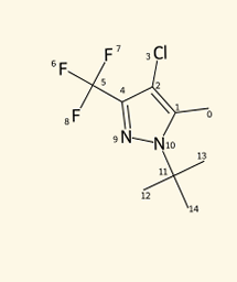 Cc1c(Cl)c(C(F)(F)F)nn1C(C)(C)C